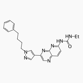 CCNC(=O)Nc1ccc2ncc(-c3cnn(CCCCc4ccccc4)c3)nc2n1